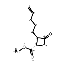 C=CCCC[C@H]1C(=O)O[C@@H]1C(=O)OC(C)(C)C